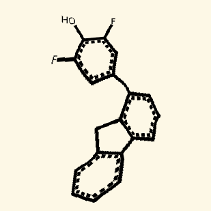 Oc1c(F)cc(-c2cccc3c2Cc2ccccc2-3)cc1F